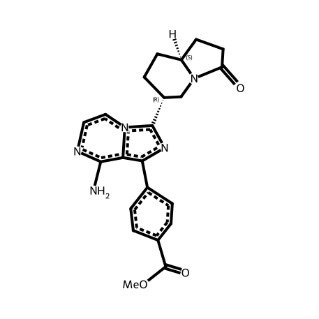 COC(=O)c1ccc(-c2nc([C@@H]3CC[C@H]4CCC(=O)N4C3)n3ccnc(N)c23)cc1